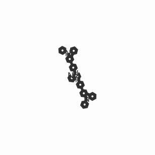 c1ccc(-n2c3ccccc3c3cc(-c4ccc(N5CCN(c6ccc(-c7ccc8c(c7)c7ccccc7n8-c7ccccc7)cc6)c6ncccc65)cc4)ccc32)cc1